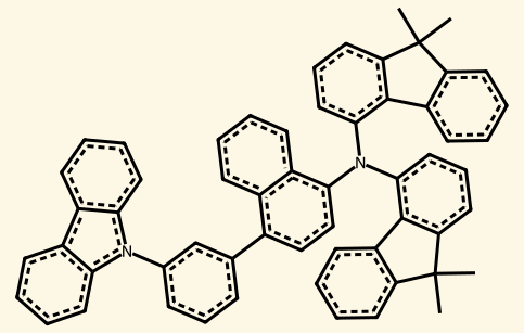 CC1(C)c2ccccc2-c2c(N(c3cccc4c3-c3ccccc3C4(C)C)c3ccc(-c4cccc(-n5c6ccccc6c6ccccc65)c4)c4ccccc34)cccc21